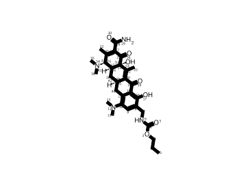 CCCOC(=O)NCc1cc(N(C)C)c2c(c1O)C(=O)C1=C(C)[C@]3(O)C(=O)C(C(N)=O)=C(C)[C@@H](N(C)C)[C@@H]3C[C@@H]1C2